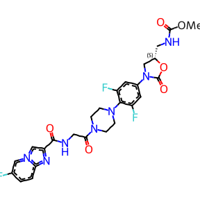 COC(=O)NC[C@H]1CN(c2cc(F)c(N3CCN(C(=O)CNC(=O)c4cn5cc(F)ccc5n4)CC3)c(F)c2)C(=O)O1